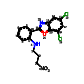 O=[N+]([O-])CCCNc1ccccc1-c1nc2cc(Cl)cc(Cl)c2o1